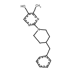 Cc1nc(N2CCC(Cc3ccccc3)CC2)ncc1O